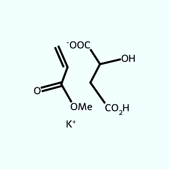 C=CC(=O)OC.O=C(O)CC(O)C(=O)[O-].[K+]